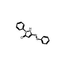 O=c1cc(N=Nc2ccccc2)[nH]n1-c1ccccc1